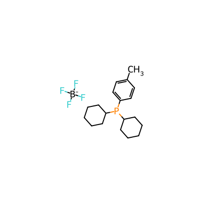 Cc1ccc(P(C2CCCCC2)C2CCCCC2)cc1.F[B-](F)(F)F